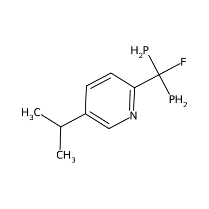 CC(C)c1ccc(C(F)(P)P)nc1